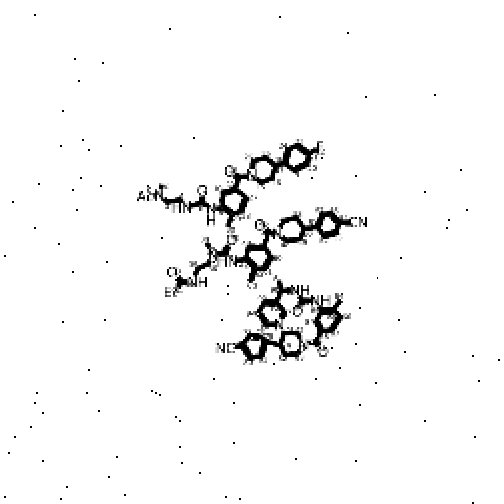 CC(=O)N(C)CCNC(=O)Nc1cc(C(=O)N2CCC(c3ccc(F)cc3)CC2)ccc1C.CCC(=O)NCCN(C)C(=O)Nc1cc(C(=O)N2CCC(c3ccc(C#N)cc3)CC2)ccc1C.Cc1ccc(C(=O)N2CCC(c3ccc(C#N)cc3)CC2)cc1NC(=O)NC(C)c1cccnc1